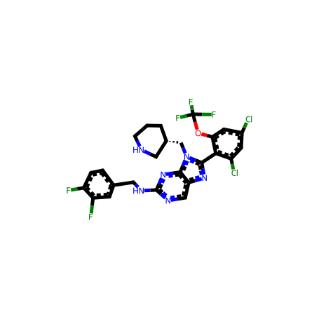 Fc1ccc(CNc2ncc3nc(-c4c(Cl)cc(Cl)cc4OC(F)(F)F)n(C[C@H]4CCCNC4)c3n2)cc1F